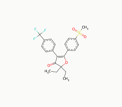 CCC1(CC)OC(c2ccc(S(C)(=O)=O)cc2)=C(c2ccc(C(F)(F)F)cc2)C1=O